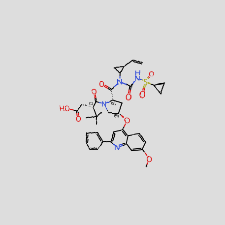 C=CC1CC1N(C(=O)NS(=O)(=O)C1CC1)C(=O)[C@@H]1C[C@@H](Oc2cc(-c3ccccc3)nc3cc(OC)ccc23)CN1C(=O)[C@@H](CC(=O)O)C(C)(C)C